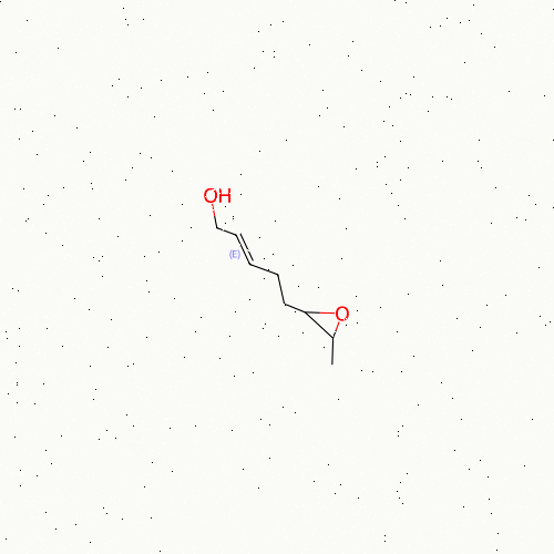 CC1OC1CC/C=C/CO